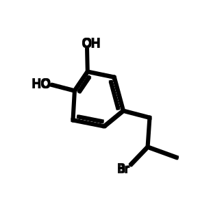 CC(Br)Cc1ccc(O)c(O)c1